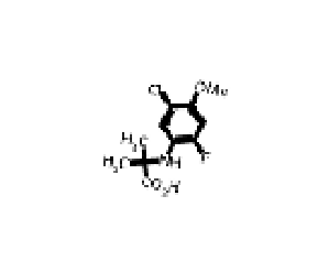 COc1cc(F)c(NC(C)(C)C(=O)O)cc1Cl